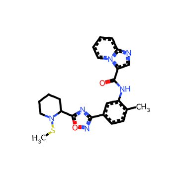 CSN1CCCCC1c1nc(-c2ccc(C)c(NC(=O)c3cnc4ccccn34)c2)no1